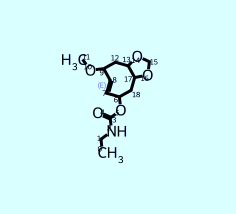 CCNC(=O)OC1/C=C/C(OC)CC2OCOC2C1